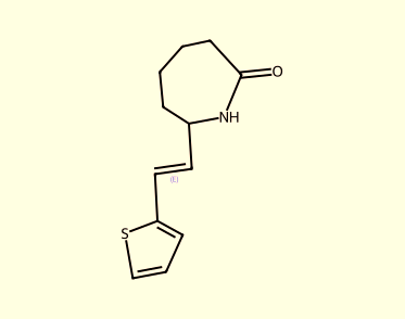 O=C1CCCCC(/C=C/c2cccs2)N1